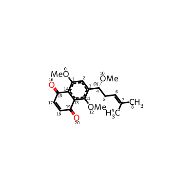 COc1cc([C@@H](CC=C(C)C)OC)c(OC)c2c1C(=O)C=CC2=O